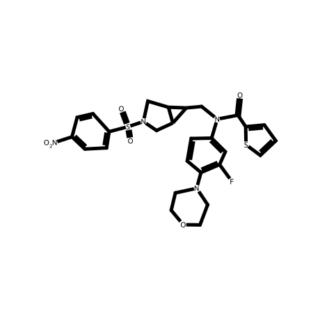 O=C(c1cccs1)N(CC1C2CN(S(=O)(=O)c3ccc([N+](=O)[O-])cc3)CC12)c1ccc(N2CCOCC2)c(F)c1